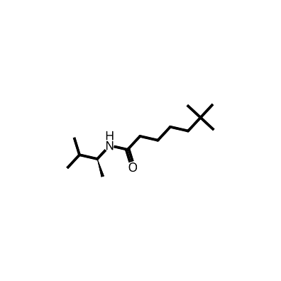 CC(C)[C@H](C)NC(=O)CCCCC(C)(C)C